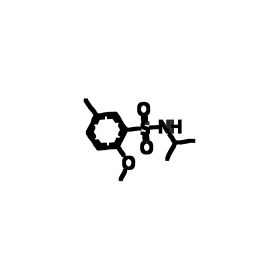 COc1ccc(C)cc1S(=O)(=O)NC(C)C